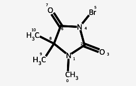 CN1C(=O)N(Br)C(=O)C1(C)C